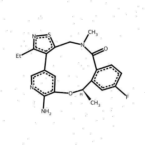 CCc1nsc2c1-c1cnc(N)c(c1)O[C@H](C)c1cc(F)ccc1C(=O)N(C)C2